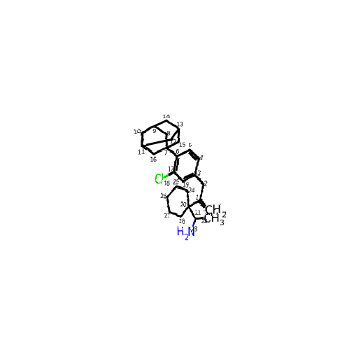 C=C(Cc1ccc(C23CC4CC(CC(C4)C2)C3)c(Cl)c1)C1(C(C)N)CCCCC1